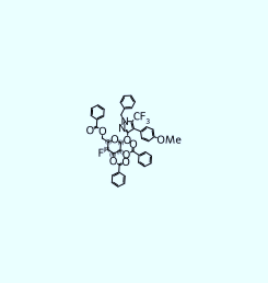 COc1ccc(-c2c(O[C@H]3O[C@H](COC(=O)c4ccccc4)[C@@H](F)[C@H](OC(=O)c4ccccc4)[C@H]3OC(=O)c3ccccc3)nn(Cc3ccccc3)c2C(F)(F)F)cc1